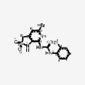 O=C(Nc1ccccc1Br)Nc1nc(Br)cc2c1NS(=O)(=O)C2